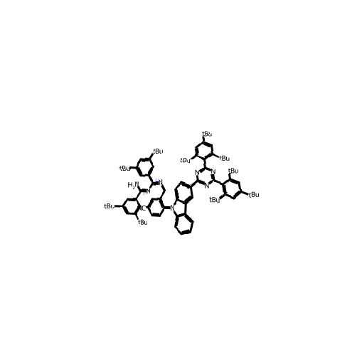 CC(C)(C)c1cc(/C(N)=N/C(=N\Cc2cc(C#N)ccc2-n2c3ccccc3c3cc(-c4nc(-c5c(C(C)(C)C)cc(C(C)(C)C)cc5C(C)(C)C)nc(-c5c(C(C)(C)C)cc(C(C)(C)C)cc5C(C)(C)C)n4)ccc32)c2cc(C(C)(C)C)cc(C(C)(C)C)c2)cc(C(C)(C)C)c1